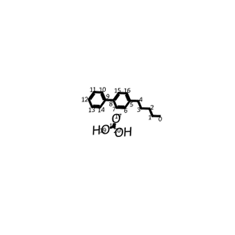 CCCCCc1ccc(-c2ccccc2)cc1.O=C(O)O